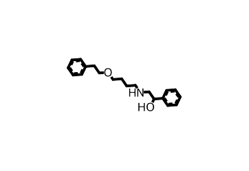 OC(CNCCCCOCCc1ccccc1)c1ccccc1